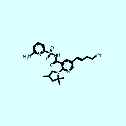 CC(C)CCC=Cc1cnc(N2CC(C)CC2(C)C)c(C(=O)NS(=O)(=O)c2cccc(N)n2)c1